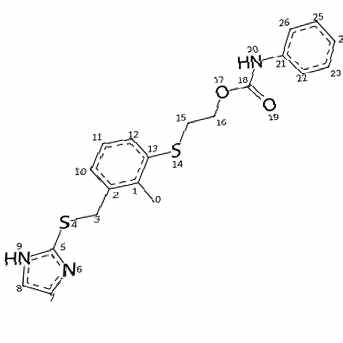 Cc1c(CSc2ncc[nH]2)cccc1SCCOC(=O)Nc1ccccc1